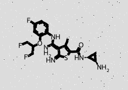 CC1=C(C(=O)N[C@@H]2C[C@H]2N)SC(=N)/C1=C(\N)Nc1ccc(F)cc1OC(CF)CF